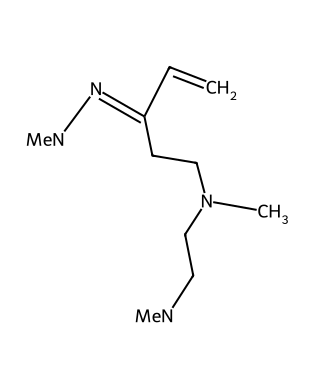 C=C/C(CCN(C)CCNC)=N/NC